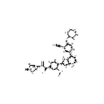 COc1cc(C(=O)NC2C3CNCC32)ccc1-c1cc2nccc(-c3ccc(OC4CCOCC4)c(C#N)c3)c2o1